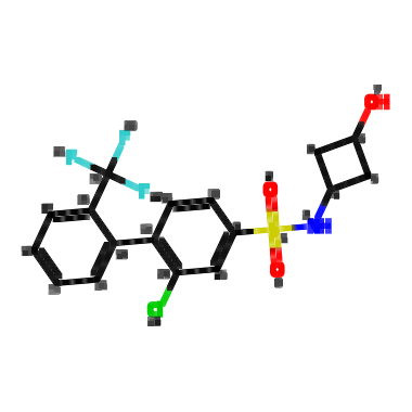 O=S(=O)(NC1CC(O)C1)c1ccc(-c2ccccc2C(F)(F)F)c(Cl)c1